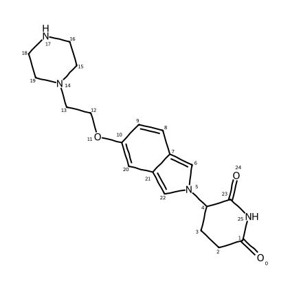 O=C1CCC(n2cc3ccc(OCCN4CCNCC4)cc3c2)C(=O)N1